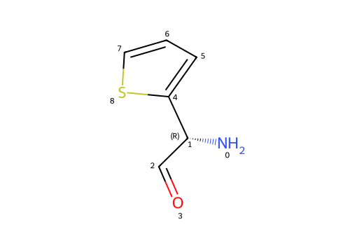 N[C@H](C=O)c1cccs1